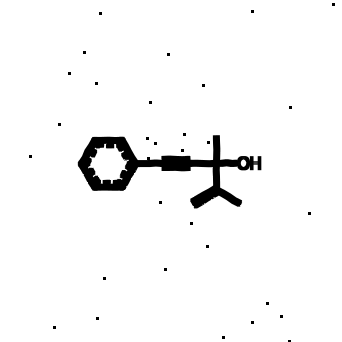 C=C(C)C(C)(O)C#Cc1ccccc1